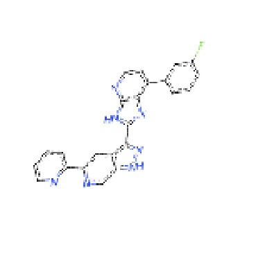 Fc1cccc(-c2ccnc3[nH]c(-c4n[nH]c5cnc(-c6ccccn6)cc45)nc23)c1